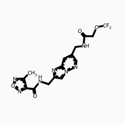 Cc1nonc1C(=O)NCc1cn2ncc(CNC(=O)COC(F)(F)F)cc2n1